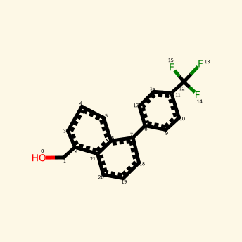 OCc1cccc2c(-c3ccc(C(F)(F)F)cc3)cccc12